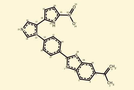 C=C(C)c1ccc2nc(-c3ccc(-n4cncc4-c4ccc([N+](=O)[O-])[nH]4)cc3)sc2c1